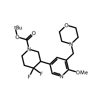 COc1ncc(C2CN(C(=O)OC(C)(C)C)CCC2(F)F)cc1CN1CCOCC1